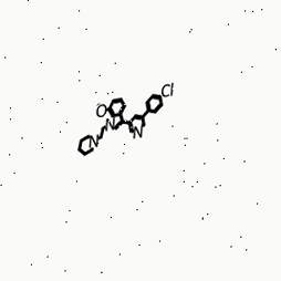 COc1cccc2c(-c3cncc(-c4ccc(Cl)cc4)c3)cn(CCN3CCCCC3)c12